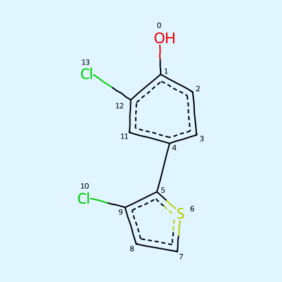 Oc1ccc(-c2sccc2Cl)cc1Cl